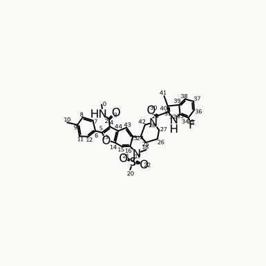 CNC(=O)c1c(-c2ccc(C)cc2)oc2cc(N(C)S(C)(=O)=O)c([C@@H]3CCCN(C(=O)c4[nH]c5c(F)cccc5c4C)C3)cc12